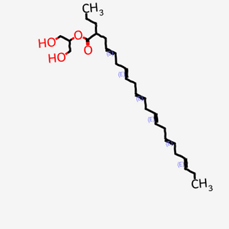 CC/C=C/C/C=C/C/C=C/C/C=C/C/C=C/C/C=C/CC(CCC)C(=O)OC(CO)CO